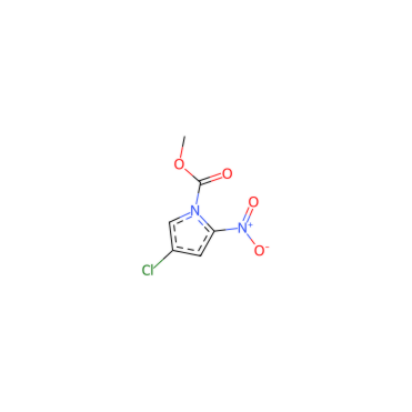 COC(=O)n1cc(Cl)cc1[N+](=O)[O-]